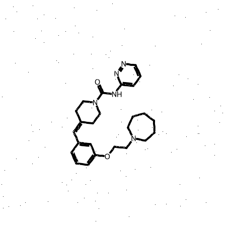 O=C(Nc1cccnn1)N1CCC(=Cc2cccc(OCCN3CCCCCC3)c2)CC1